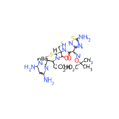 CCCCN1C(C2=C(C(=O)O)N3C(=O)C(C=S)(NC(=O)/C(=N\OC(C)(C)C(=O)O)c4nsc(N)n4)[C@@H]3SC2)=NC(N)=CC1N